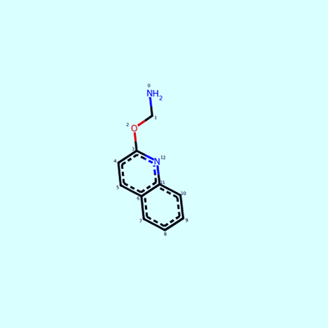 NCOc1ccc2ccccc2n1